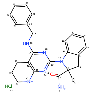 CC1(C(N)=O)Cc2ccccc2N1c1nc2c(c(NCc3ccccc3)n1)CCCN2.Cl